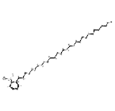 CCCCCCCCCCCCCCCCCCCCCCCCCCCCCCc1ccccc1[SiH](Cl)Cl